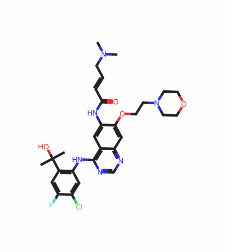 CN(C)CC=CC(=O)Nc1cc2c(Nc3cc(Cl)c(F)cc3C(C)(C)O)ncnc2cc1OCCN1CCOCC1